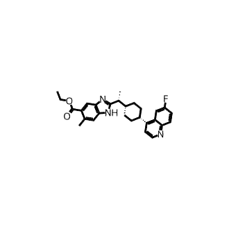 CCOC(=O)c1cc2nc([C@H](C)[C@H]3CC[C@@H](c4ccnc5ccc(F)cc54)CC3)[nH]c2cc1C